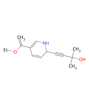 C=C(OCC)C1=CNC(C#CC(C)(C)O)C=C1